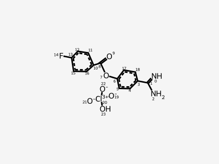 N=C(N)c1ccc(OC(=O)c2ccc(F)cc2)cc1.[O-][Cl+3]([O-])([O-])O